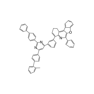 Cc1ccccc1-c1ccc(-c2cc(-c3cccc(C4=CCCc5c4nc(-c4ccccc4)c4oc6ccccc6c54)c3)nc(-c3ccc(-c4ccccc4)cc3)n2)cc1